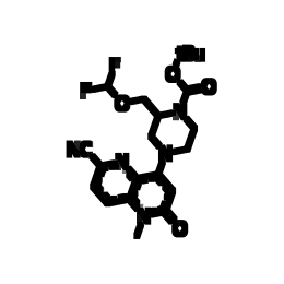 Cn1c(=O)cc(N2CCN(C(=O)OC(C)(C)C)C(COC(F)F)C2)c2nc(C#N)ccc21